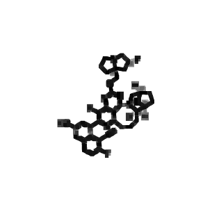 C#Cc1c(F)ccc2cc(O)cc(-c3nc4c5c(nc(OC[C@@]67CCCN6C[C@H](F)C7)nc5c3F)N3C[C@H]5CC[C@H](N5)[C@H]3CCC4)c12